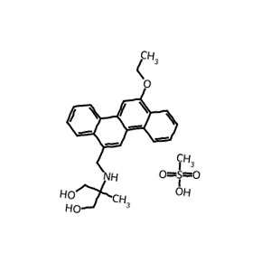 CCOc1cc2c3ccccc3c(CNC(C)(CO)CO)cc2c2ccccc12.CS(=O)(=O)O